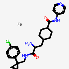 NC(CC1CCC(C(=O)Nc2ccncc2)CC1)C(=O)NCC1(c2ccc(Cl)cc2)CC1.[Fe]